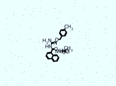 CNC.Cc1ccc(CON=C(N)NC(=O)c2cccc3ccccc23)cc1.Cl.O